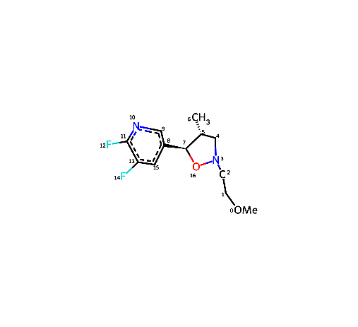 COCCN1C[C@@H](C)[C@H](c2cnc(F)c(F)c2)O1